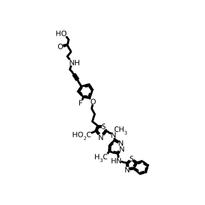 Cc1cc(N(C)c2nc(C(=O)O)c(CCCOc3ccc(C#CCNCCC(=O)CO)cc3F)s2)nnc1Nc1nc2ccccc2s1